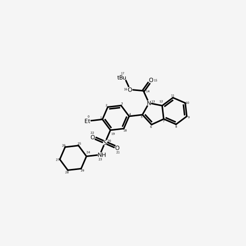 CCc1ccc(-c2cc3ccccc3n2C(=O)OC(C)(C)C)cc1S(=O)(=O)NC1CCCCC1